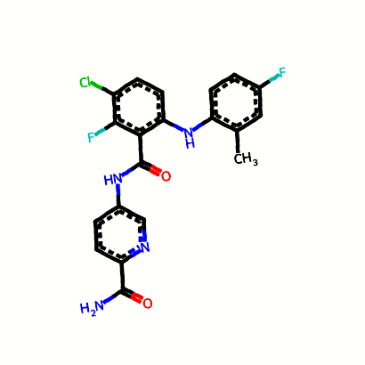 Cc1cc(F)ccc1Nc1ccc(Cl)c(F)c1C(=O)Nc1ccc(C(N)=O)nc1